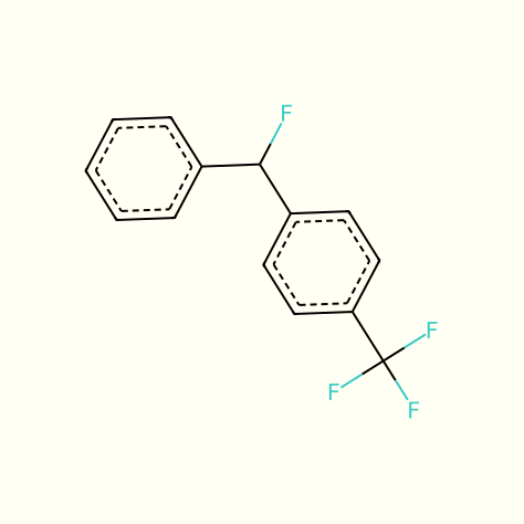 FC(c1ccccc1)c1ccc(C(F)(F)F)cc1